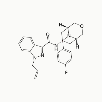 C=CCn1nc(C(=O)N[C@H]2C[C@H]3COC[C@@H](C2)N3Cc2ccc(F)cc2)c2ccccc21